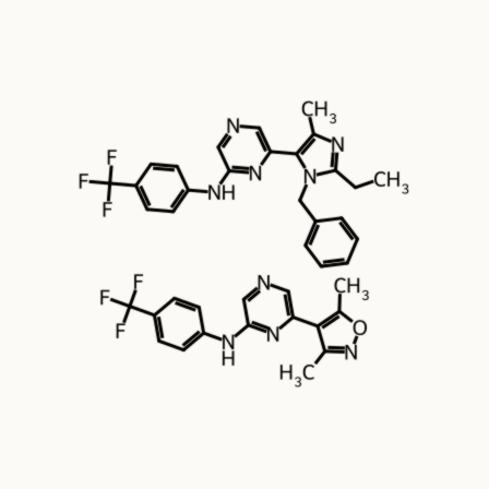 CCc1nc(C)c(-c2cncc(Nc3ccc(C(F)(F)F)cc3)n2)n1Cc1ccccc1.Cc1noc(C)c1-c1cncc(Nc2ccc(C(F)(F)F)cc2)n1